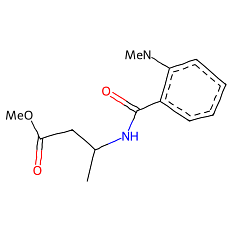 CNc1ccccc1C(=O)NC(C)CC(=O)OC